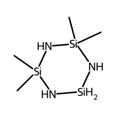 C[Si]1(C)N[SiH2]N[Si](C)(C)N1